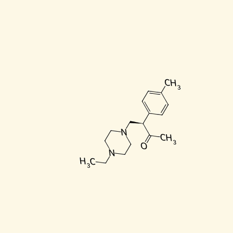 CCN1CCN(C[C@H](C(C)=O)c2ccc(C)cc2)CC1